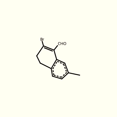 Cc1ccc2c(c1)C(C=O)=C(Br)CC2